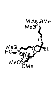 CCC(COCCC[Si](CO)(OC)OC)(COCCC[Si](OC)(OC)OC)COCCC[Si](OC)(OC)OC